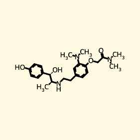 C[C@H](NCCc1ccc(OCC(=O)N(C)C)c(N(C)C)c1)[C@@H](O)c1ccc(O)cc1